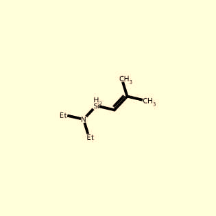 CCN(CC)[SiH2]C=C(C)C